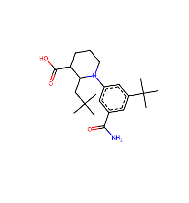 CC(C)(C)CC1C(C(=O)O)CCCN1c1cc(C(N)=O)cc(C(C)(C)C)c1